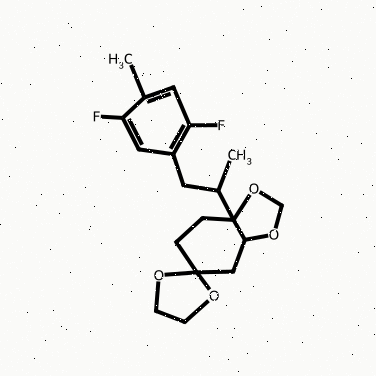 Cc1cc(F)c(CC(C)C23CCC4(CC2OCO3)OCCO4)cc1F